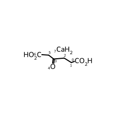 O=C(O)CCC(=O)CC(=O)O.[CaH2]